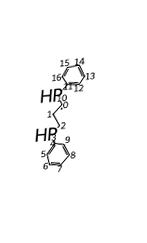 [CH](CCPc1ccccc1)Pc1ccccc1